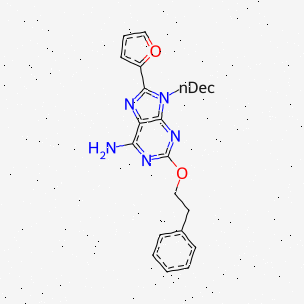 CCCCCCCCCCn1c(-c2ccco2)nc2c(N)nc(OCCc3ccccc3)nc21